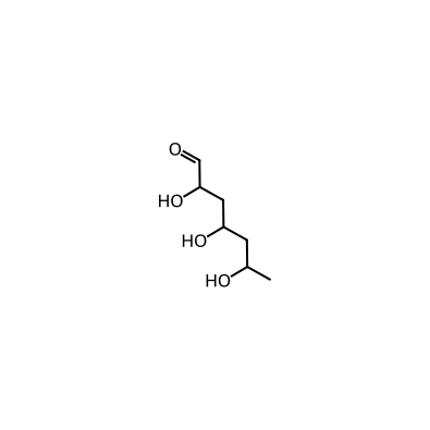 CC(O)CC(O)CC(O)C=O